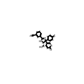 N#Cc1cccc(C2=NC(c3ccc(F)cc3)(c3ccc(F)nc3)[C@H](CO)N2)c1